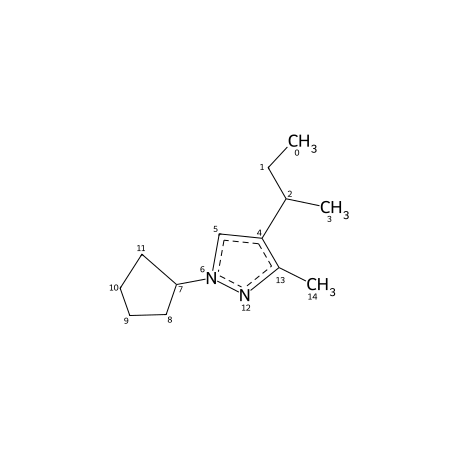 CCC(C)c1cn(C2CCCC2)nc1C